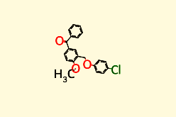 COc1ccc(C(=O)c2ccccc2)cc1COc1ccc(Cl)cc1